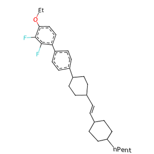 CCCCCC1CCC(/C=C/C2CCC(c3ccc(-c4ccc(OCC)c(F)c4F)cc3)CC2)CC1